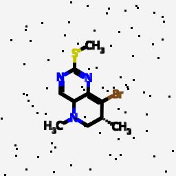 CSC1=NC2=C(Br)[C@H](C)CN(C)C2C=N1